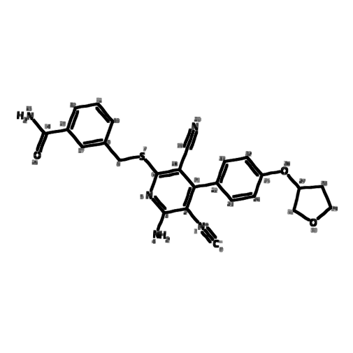 [C-]#[N+]c1c(N)nc(SCc2cccc(C(N)=O)c2)c(C#N)c1-c1ccc(OC2CCOC2)cc1